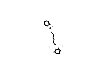 CC(C)c1cccc(C(C)C)c1NC(=O)CCCCCSc1nc2ccccc2o1